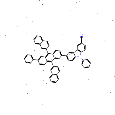 N#Cc1ccc2c(c1)c1cc(-c3ccc4c(-c5ccc6ccccc6c5)c5cc(-c6ccccc6)ccc5c(-c5ccc6ccccc6c5)c4c3)ccc1n2-c1ccccc1